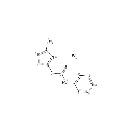 Cc1noc(CC(=O)Nc2ccncc2)n1.Cl